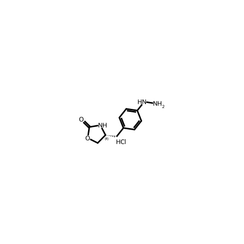 Cl.NNc1ccc(C[C@@H]2COC(=O)N2)cc1